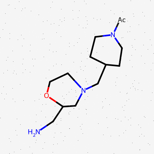 CC(=O)N1CCC(CN2CCOC(CN)C2)CC1